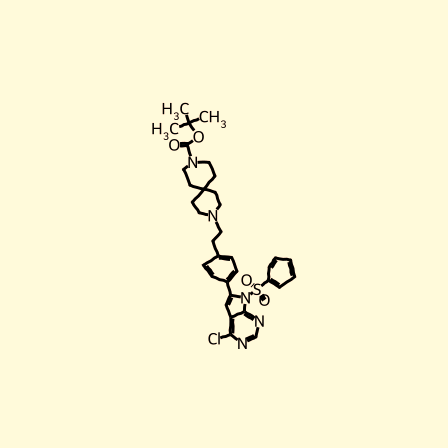 CC(C)(C)OC(=O)N1CCC2(CCN(CCc3ccc(-c4cc5c(Cl)ncnc5n4S(=O)(=O)c4ccccc4)cc3)CC2)CC1